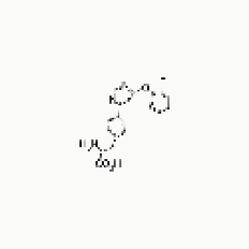 N[C@@H](Cc1ccc(-c2cc(Oc3ccccc3F)ncn2)cc1)C(=O)O